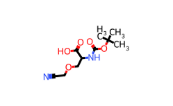 CC(C)(C)OC(=O)NC(COCC#N)C(=O)O